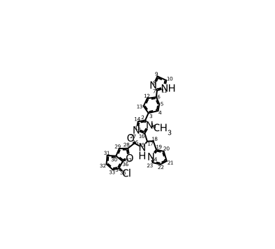 Cn1c(-c2ccc(-c3ncc[nH]3)cc2)cnc1C(Cc1ccccn1)NC(=O)c1cc2cccc(Cl)c2o1